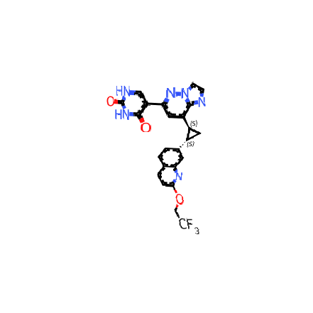 O=c1[nH]cc(-c2cc([C@H]3C[C@@H]3c3ccc4ccc(OCC(F)(F)F)nc4c3)c3nccn3n2)c(=O)[nH]1